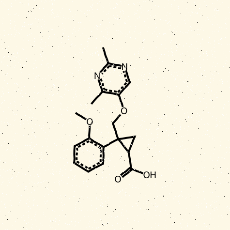 COc1ccccc1C1(COc2cnc(C)nc2C)CC1C(=O)O